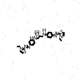 CC[n+]1ccsc1/N=N/c1ccc(NCCCNc2ccc(/N=N/c3scc[n+]3CC)cc2)cc1.[Cl-].[Cl-]